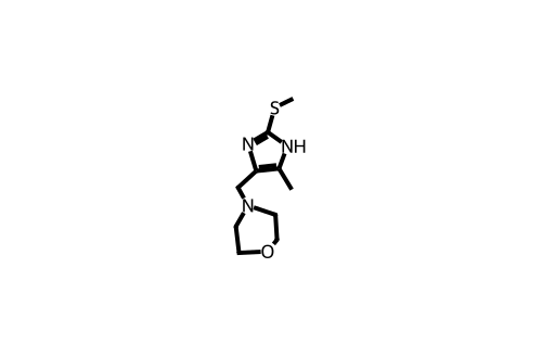 CSc1nc(CN2CCOCC2)c(C)[nH]1